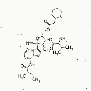 CC[C@H](C)C(=O)Nc1ncnn2c([C@]3(C#N)O[C@H](COC(=O)CC4CCCCC4)[C@@H](OC(=O)[C@@H](N)C(C)C)[C@H]3O)ccc12